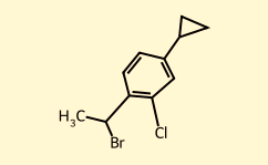 CC(Br)c1ccc(C2CC2)cc1Cl